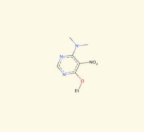 CCOc1ncnc(N(C)C)c1[N+](=O)[O-]